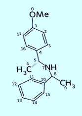 COc1ccc([C@@H](C)NC(C)c2ccccc2)cc1